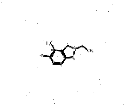 CCN1Cc2c(ccc(F)c2C)S1